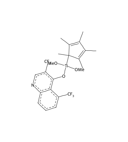 C[O][Ti]([O]C)([O]c1c(C(F)(F)F)cnc2cccc(C(F)(F)F)c12)[C]1(C)C(C)=C(C)C(C)=C1C